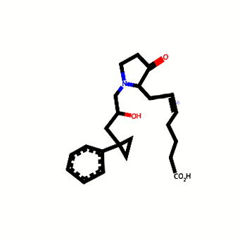 O=C(O)CCC/C=C\CC1C(=O)CCN1CC(O)CC1(c2ccccc2)CC1